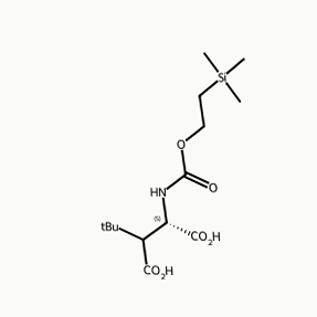 CC(C)(C)C(C(=O)O)[C@H](NC(=O)OCC[Si](C)(C)C)C(=O)O